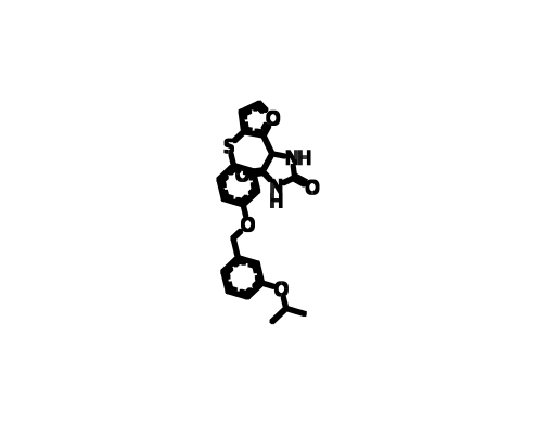 CC(C)Oc1cccc(COc2ccc(Sc3ccoc3C3NC(=O)NC3=O)cc2)c1